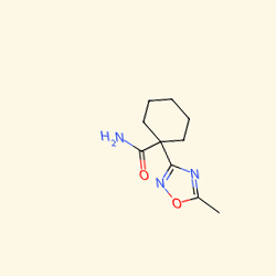 Cc1nc(C2(C(N)=O)CCCCC2)no1